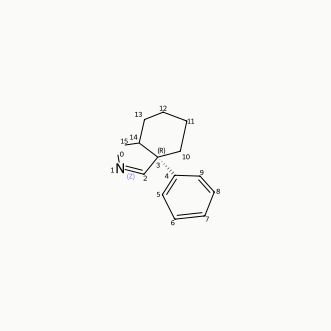 C/N=C\[C@]1(c2ccccc2)CCCCC1C